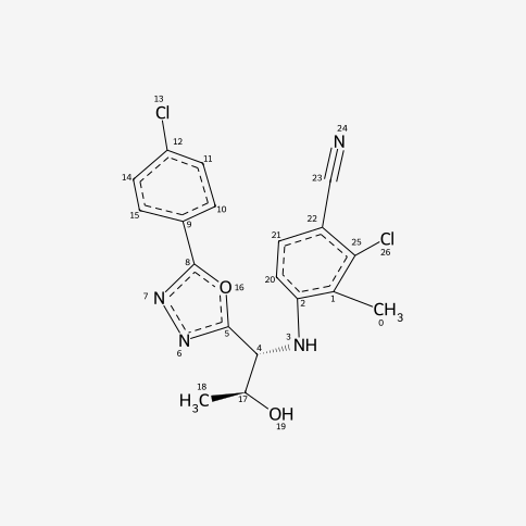 Cc1c(N[C@@H](c2nnc(-c3ccc(Cl)cc3)o2)[C@H](C)O)ccc(C#N)c1Cl